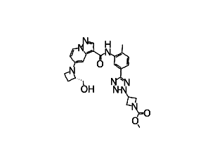 COC(=O)N1CC(n2nnc(-c3ccc(C)c(NC(=O)c4cnn5ccc(N6CC[C@H]6CO)cc45)c3)n2)C1